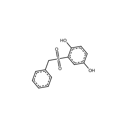 O=S(=O)(Cc1ccccc1)c1cc(O)ccc1O